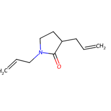 C=CCC1CCN(CC=C)C1=O